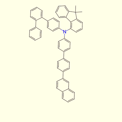 CC1(C)c2ccccc2-c2c(N(c3ccc(-c4ccc(-c5ccc6ccccc6c5)cc4)cc3)c3ccc(-c4ccccc4-c4ccccc4)cc3)cccc21